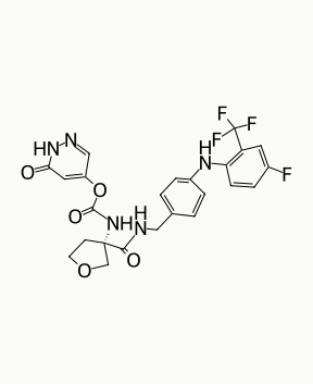 O=C(N[C@@]1(C(=O)NCc2ccc(Nc3ccc(F)cc3C(F)(F)F)cc2)CCOC1)Oc1cn[nH]c(=O)c1